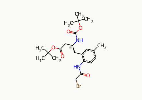 Cc1ccc(NC(=O)CBr)c(C[C@@H](CC(=O)OC(C)(C)C)NC(=O)OC(C)(C)C)c1